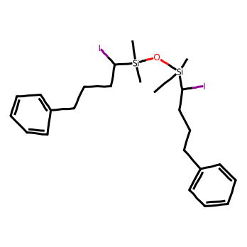 C[Si](C)(O[Si](C)(C)C(I)CCCc1ccccc1)C(I)CCCc1ccccc1